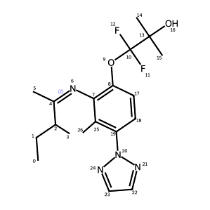 CCC(C)/C(C)=N\c1c(OC(F)(F)C(C)(C)O)ccc(-n2nccn2)c1C